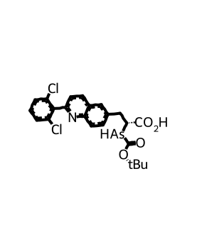 CC(C)(C)OC(=O)[AsH][C@H](Cc1ccc2nc(-c3c(Cl)cccc3Cl)ccc2c1)C(=O)O